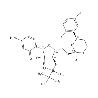 CC(C)(C)[Si](C)(C)O[C@@H]1[C@@H](CO[P@]2(=O)OCC[C@H](c3cc(Cl)ccc3F)O2)O[C@@H](n2ccc(N)nc2=O)C1(F)F